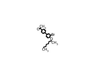 CCCCCCC(C)Oc1ccc(-c2ccc(C(C)=O)cc2)cc1Br